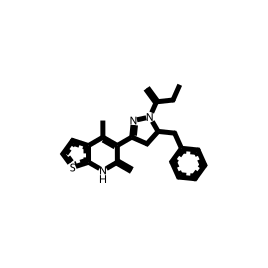 C=C1Nc2sccc2C(C)=C1C1=NN(C(=C)CC)C(Cc2ccccc2)C1